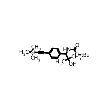 CC(C)(C)OC(=O)NC(c1ccc(C#C[Si](C)(C)C)cc1)C(C)(C)O